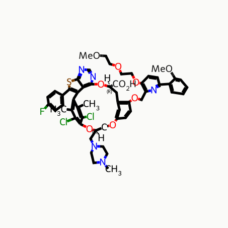 COCCOCCOc1ccc(-c2ccccc2OC)nc1COc1ccc2cc1C[C@H](C(=O)O)Oc1ncnc3sc(-c4ccc(F)cc4)c(c13)-c1c(C)c(Cl)c(c(Cl)c1C)O[C@H](CN1CCN(C)CC1)CO2